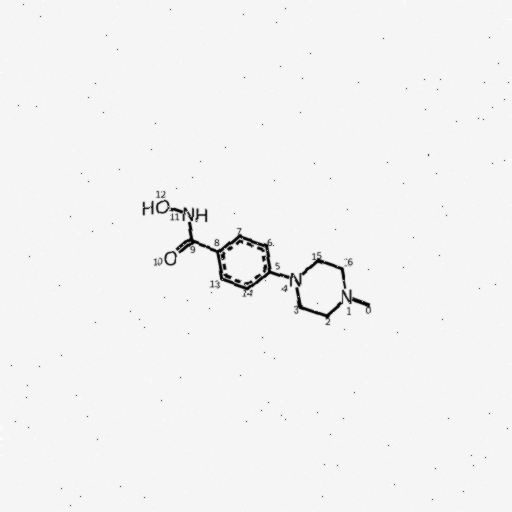 CN1CCN(c2ccc(C(=O)NO)cc2)CC1